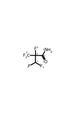 NC(=O)C(F)(C(F)F)C(F)(F)F